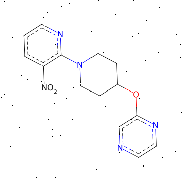 O=[N+]([O-])c1cccnc1N1CCC(Oc2cnccn2)CC1